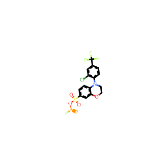 O=S(=O)(OP(F)#P)c1ccc2c(c1)OCCN2c1ccc(C(F)(F)F)cc1Cl